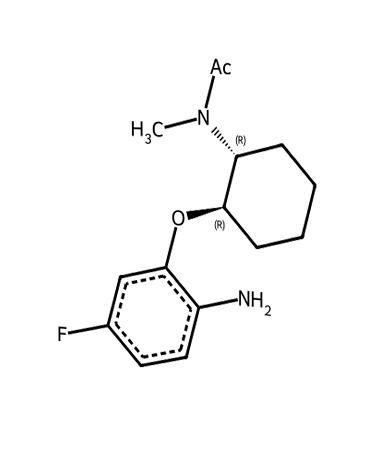 CC(=O)N(C)[C@@H]1CCCC[C@H]1Oc1cc(F)ccc1N